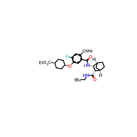 CCOC(=O)[C@H]1CC[C@@H](Oc2cc(C(=O)N[C@@H]3[C@H]4CC[C@H](C4)[C@@H]3C(=O)NCC(C)(C)C)c(OC)cc2F)CC1